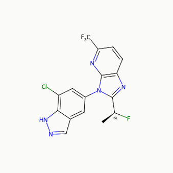 C[C@H](F)c1nc2ccc(C(F)(F)F)nc2n1-c1cc(Cl)c2[nH]ncc2c1